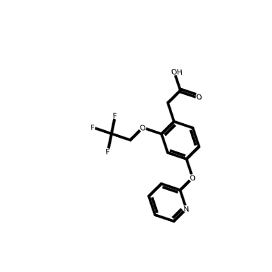 O=C(O)Cc1ccc(Oc2ccccn2)cc1OCC(F)(F)F